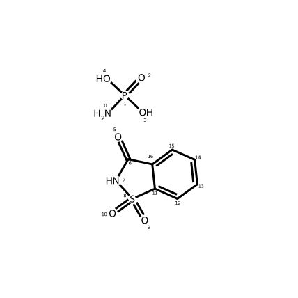 NP(=O)(O)O.O=C1NS(=O)(=O)c2ccccc21